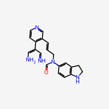 N=C/C(=C\N)c1ccncc1/C=C/CN(C=O)c1ccc2c(c1)CCN2